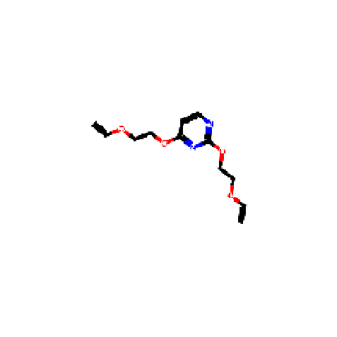 C=COCCOc1ccnc(OCCOC=C)n1